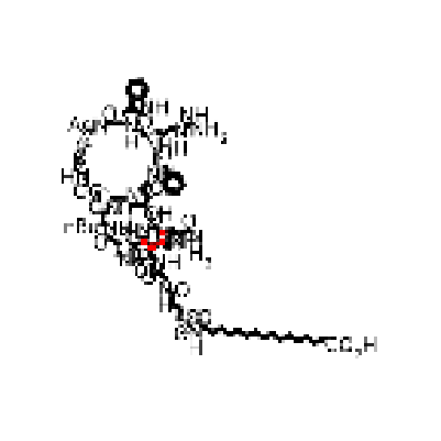 CCCC[C@H](NC(=O)[C@H](CN)NC(=O)[C@H](Cc1c[nH]cn1)NC(=O)[C@@H](CCC(N)=O)NC(=O)[C@H](CO)NC(=O)CNC(=O)CCCS(=O)(=O)NC(=O)CCCCCCCCCCCCCCC(=O)O)C(=O)N[C@H]1CCC(=O)NCCCC[C@@H](C(C)=O)NC(=O)[C@H](Cc2c[nH]c3ccccc23)NC(=O)[C@H](CCCNC(=N)N)NC(=O)[C@@H](Cc2ccccc2)NC(=O)[C@@H]2C[C@@H](O)CN2C1=O